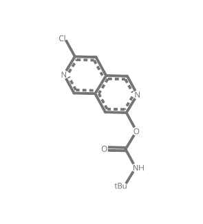 CC(C)(C)NC(=O)Oc1cc2cnc(Cl)cc2cn1